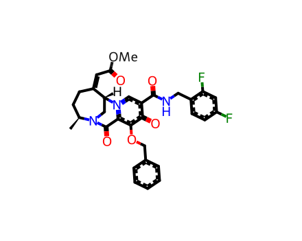 COC(=O)C=C1CC[C@H](C)N2C[C@H]1n1cc(C(=O)NCc3ccc(F)cc3F)c(=O)c(OCc3ccccc3)c1C2=O